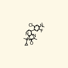 Cc1nc2c(-c3cc(F)c(N(C)C)cc3Cl)ccnc2n([C@H](C)C2CC2)c1=O